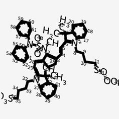 CN(C1=C(/C=C/C2=[N+](CCCCSOOO)c3ccccc3C2(C)C)CC/C1=C\C=C1\N(CCCCS(=O)(=O)O)c2ccccc2C1(C)C)S(=O)(=O)N(c1ccccc1)c1ccccc1